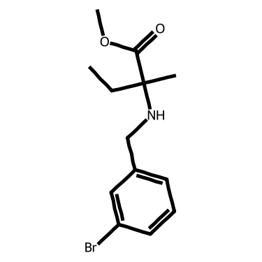 CCC(C)(NCc1cccc(Br)c1)C(=O)OC